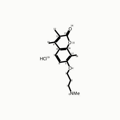 CNCCCOc1ccc2c(C)c(C)c(=O)oc2c1C.Cl